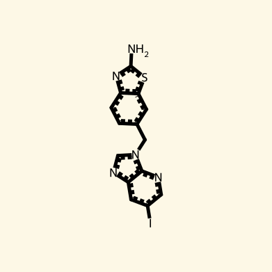 Nc1nc2ccc(Cn3cnc4cc(I)cnc43)cc2s1